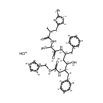 CC(C)c1nc(CN(C)C(=O)NC(C(=O)NC(Cc2ccccc2)CC(O)C(Cc2ccccc2)NC(=O)OCc2cncs2)C(C)C)cs1.Cl